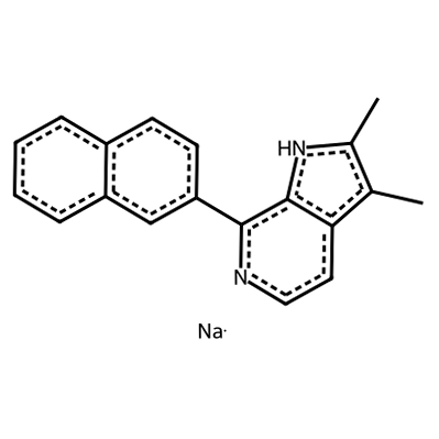 Cc1[nH]c2c(-c3ccc4ccccc4c3)nccc2c1C.[Na]